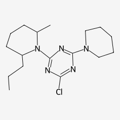 CCCC1CCCC(C)N1c1nc(Cl)nc(N2CCCCC2)n1